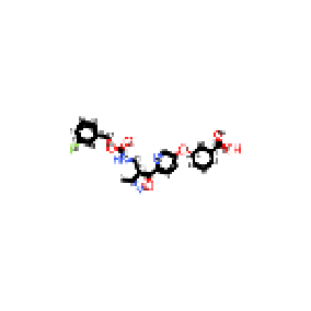 Cc1noc(-c2ccc(O[C@H]3CCCC(C(=O)O)C3)cn2)c1CNC(=O)OCc1cccc(F)c1